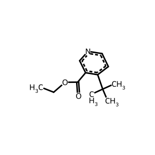 CCOC(=O)c1cnccc1C(C)(C)C